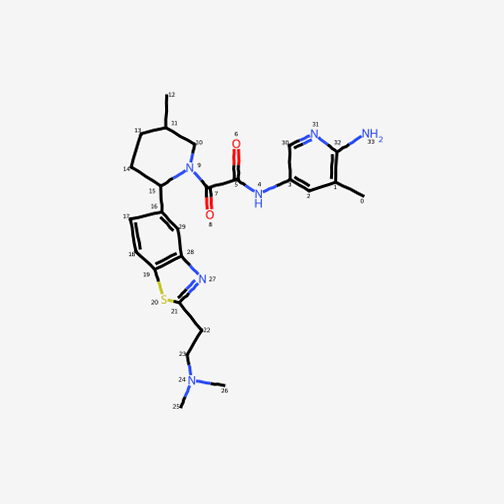 Cc1cc(NC(=O)C(=O)N2CC(C)CCC2c2ccc3sc(CCN(C)C)nc3c2)cnc1N